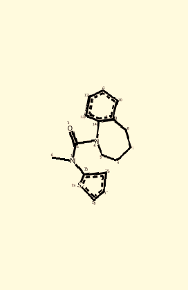 CN(C(=O)N1CCCCc2ccccc21)c1cccs1